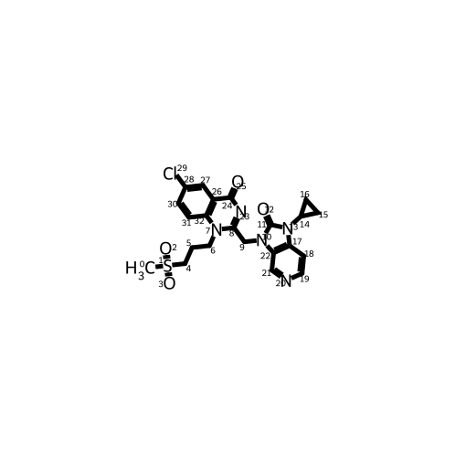 CS(=O)(=O)CCCn1c(Cn2c(=O)n(C3CC3)c3ccncc32)nc(=O)c2cc(Cl)ccc21